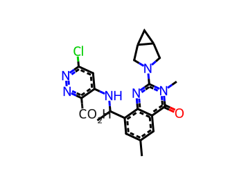 Cc1cc(C(C)Nc2cc(Cl)nnc2C(=O)O)c2nc(N3CC4CC4C3)n(C)c(=O)c2c1